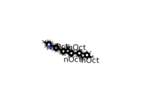 CCCCCCCCC1(CCCCCCCC)c2cc(C)ccc2-c2ccc(-c3ccc4c(c3)C(CCCCCCCC)(CCCCCCCC)c3cc(-c5ccc(-c6ccc(C)cn6)cc5)ccc3-4)cc21